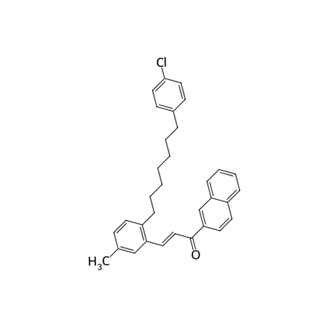 Cc1ccc(CCCCCCCc2ccc(Cl)cc2)c(C=CC(=O)c2ccc3ccccc3c2)c1